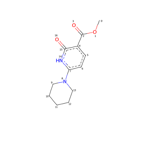 COC(=O)c1ccc(N2CCCCC2)[nH]c1=O